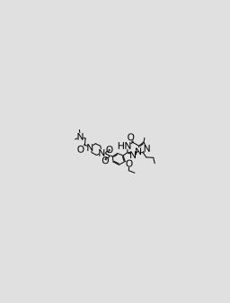 CCCc1nc(C)c2c(=O)[nH]c(-c3cc(S(=O)(=O)N4CCN(C(=O)CN(C)C)CC4)ccc3OCC)nn12